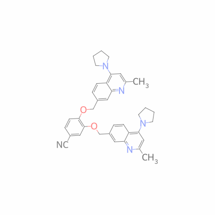 Cc1cc(N2CCCC2)c2ccc(COc3ccc(C#N)cc3OCc3ccc4c(N5CCCC5)cc(C)nc4c3)cc2n1